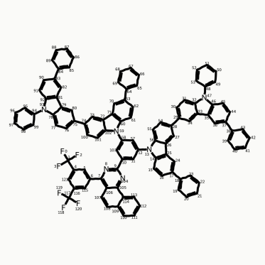 FC(F)(F)c1cc(-c2nc(-c3cc(-n4c5ccc(-c6ccccc6)cc5c5cc(-c6ccc7c(c6)c6cc(-c8ccccc8)ccc6n7-c6ccccc6)ccc54)cc(-n4c5ccc(-c6ccccc6)cc5c5cc(-c6ccc7c(c6)c6cc(-c8ccccc8)ccc6n7-c6ccccc6)ccc54)c3)nc3c2ccc2ccccc23)cc(C(F)(F)F)c1